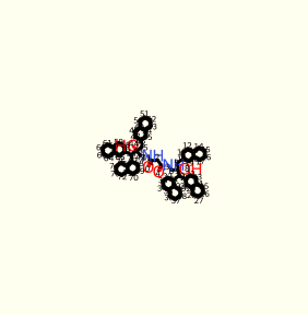 O=C(CC(=O)NCC(O)(Cc1ccc2ccccc2c1)C(c1ccc2ccccc2c1)c1cccc2ccccc12)NCC(O)(Cc1ccc2ccccc2c1)C(c1ccc2ccccc2c1)c1cccc2ccccc12